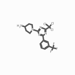 NC1CCN(c2nc(-c3cccc(C(F)(F)F)c3)nc(C(Cl)(Cl)Cl)n2)CC1